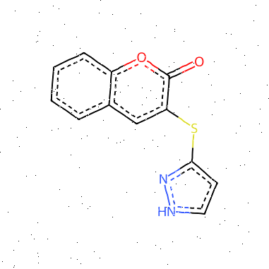 O=c1oc2ccccc2cc1Sc1cc[nH]n1